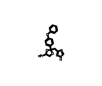 CCCC1COC(Cc2nc[nH]n2)(c2ccc(Oc3ccccc3)cc2)O1